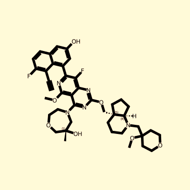 C#Cc1c(F)ccc2cc(O)cc(-c3nc(OC)c4c(N5CCOC[C@@](C)(O)C5)nc(OC[C@]56CCC[C@H]5N(CC5(OC)CCOCC5)CCC6)nc4c3F)c12